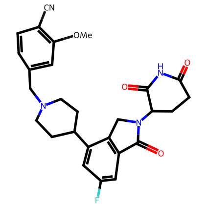 COc1cc(CN2CCC(c3cc(F)cc4c3CN(C3CCC(=O)NC3=O)C4=O)CC2)ccc1C#N